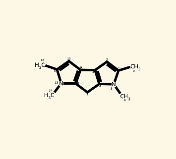 Cc1cc2c(n1C)Cc1c-2cc(C)n1C